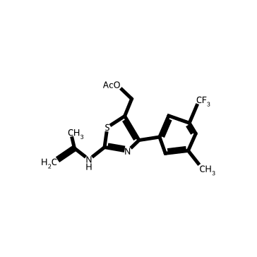 C=C(C)Nc1nc(-c2cc(C)cc(C(F)(F)F)c2)c(COC(C)=O)s1